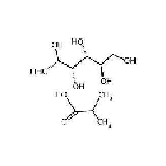 CC(C)C(=O)O.O=C[C@H](O)[C@@H](O)[C@H](O)[C@H](O)CO